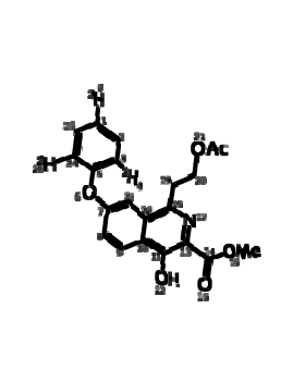 [2H]c1cc([2H])c(Oc2ccc3c(O)c(C(=O)OC)nc(CCOC(C)=O)c3c2)c([2H])c1